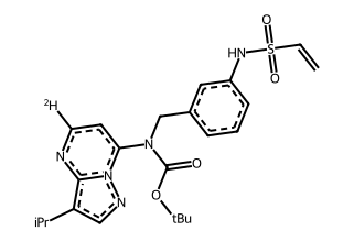 [2H]c1cc(N(Cc2cccc(NS(=O)(=O)C=C)c2)C(=O)OC(C)(C)C)n2ncc(C(C)C)c2n1